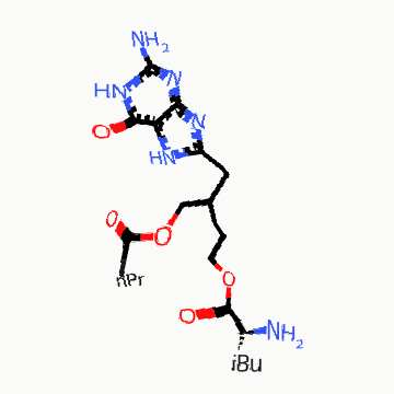 CCCC(=O)OCC(CCOC(=O)[C@@H](N)[C@@H](C)CC)Cc1nc2nc(N)[nH]c(=O)c2[nH]1